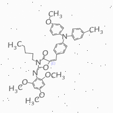 CCCCCN1C(=O)/C(=C\c2ccc(N(c3ccc(C)cc3)c3ccc(OC)cc3)cc2)OC1=Nc1c(OC)cc(OC)cc1OC